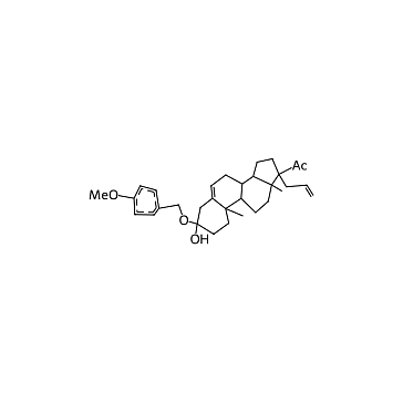 C=CCC1(C(C)=O)CCC2C3CC=C4CC(O)(OCc5ccc(OC)cc5)CCC4(C)C3CCC21C